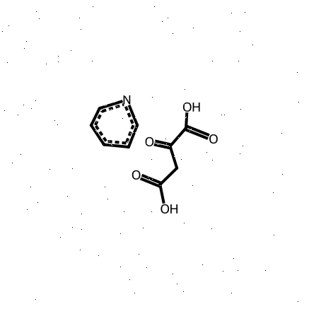 O=C(O)CC(=O)C(=O)O.c1ccncc1